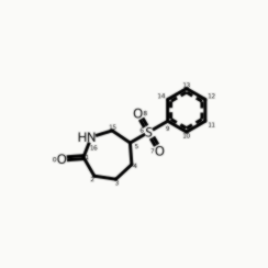 O=C1CCCC(S(=O)(=O)c2ccccc2)CN1